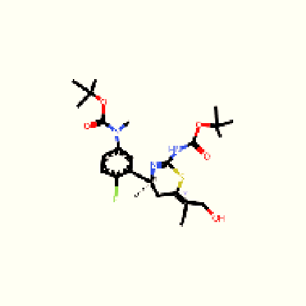 C/C(CO)=C1\C[C@@](C)(c2cc(N(C)C(=O)OC(C)(C)C)ccc2F)N=C(NC(=O)OC(C)(C)C)S1